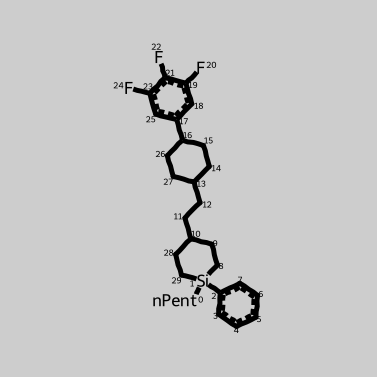 CCCCC[Si]1(c2ccccc2)CCC(CCC2CCC(c3cc(F)c(F)c(F)c3)CC2)CC1